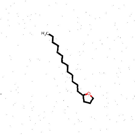 CCCCCCCCCCCCCC1CCCO1